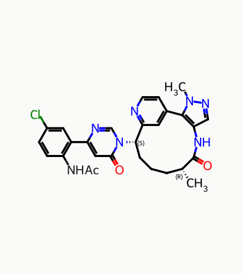 CC(=O)Nc1ccc(Cl)cc1-c1cc(=O)n([C@H]2CCC[C@@H](C)C(=O)Nc3cnn(C)c3-c3ccnc2c3)cn1